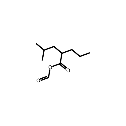 CCCC(CC(C)C)C(=O)OC=O